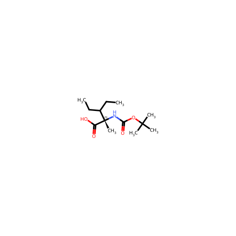 CCC(CC)[C@](C)(NC(=O)OC(C)(C)C)C(=O)O